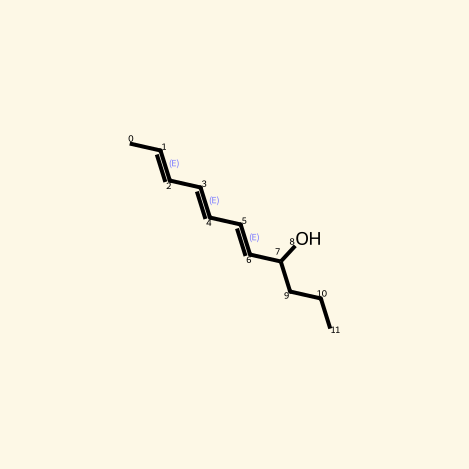 C/C=C/C=C/C=C/C(O)CCC